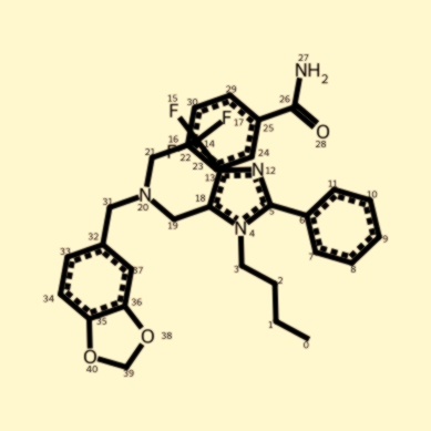 CCCCn1c(-c2ccccc2)nc(C(F)(F)F)c1CN(Cc1ccc(C(N)=O)cc1)Cc1ccc2c(c1)OCO2